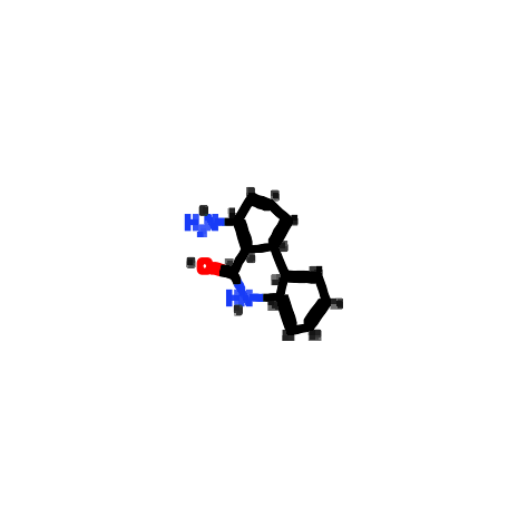 Nc1cccc2c1c(=O)[nH]c1ccccc12